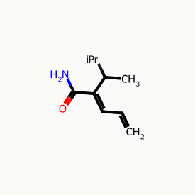 C=C/C=C(/C(N)=O)C(C)C(C)C